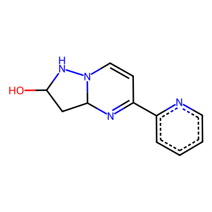 OC1CC2N=C(c3ccccn3)C=CN2N1